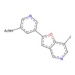 CC(=O)Nc1cncc(-c2cc3cncc(I)c3o2)c1